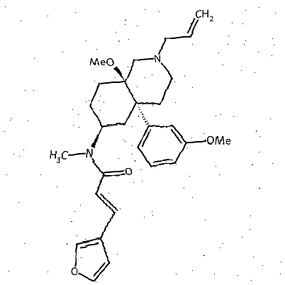 C=CCN1CC[C@@]2(c3cccc(OC)c3)C[C@@H](N(C)C(=O)/C=C/c3ccoc3)CC[C@]2(OC)C1